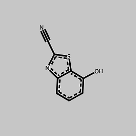 N#Cc1nc2cccc(O)c2s1